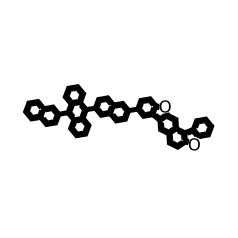 c1ccc2cc(-c3c4ccccc4c(-c4ccc5cc(-c6ccc7oc8cc9c(ccc%10oc%11ccccc%11c%109)cc8c7c6)ccc5c4)c4ccccc34)ccc2c1